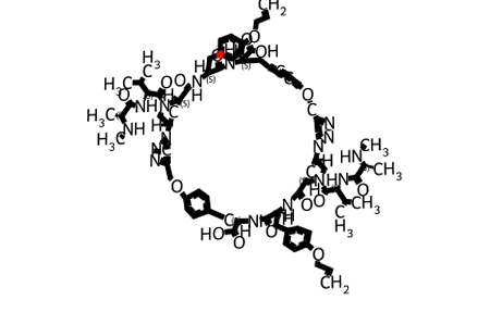 C=CCOc1ccc(C[C@@H]2NC(=O)[C@@H]3C[C@@H](CN3C(=O)[C@@H](NC(=O)[C@H](C)NC)C(C)C)n3cc(nn3)COc3ccc(cc3)C[C@@H](C(=O)O)NC(=O)[C@H](Cc3ccc(OCC=C)cc3)NC(=O)[C@@H]3C[C@@H](CN3C(=O)[C@@H](NC(=O)[C@H](C)NC)C(C)C)n3cc(nn3)COc3ccc(cc3)C[C@@H](C(=O)O)NC2=O)cc1